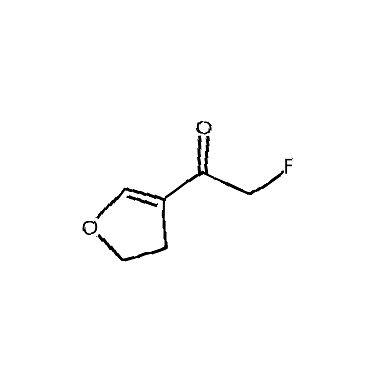 O=C(CF)C1=COCC1